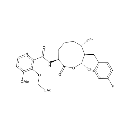 CCC[C@H]1CCC[C@H](NC(=O)c2nccc(OC)c2OCOC(C)=O)C(=O)O[C@@H](C)[C@@H]1Cc1ccc(F)cc1